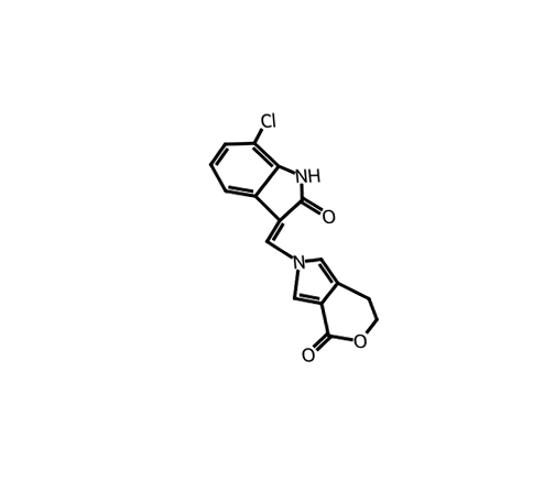 O=C1Nc2c(Cl)cccc2C1=Cn1cc2c(c1)C(=O)OCC2